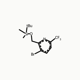 CC(C)(C)[Si](C)(C)OCc1nc(C(F)(F)F)ccc1Br